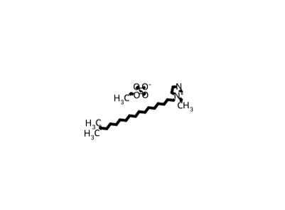 CCOS(=O)(=O)[O-].CC[N+]1(CCCCCCCCCCCCCCCC(C)C)C=NCC1